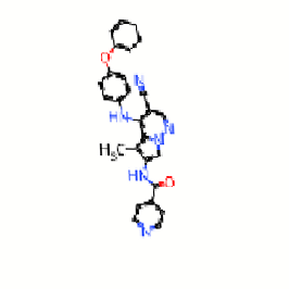 Cc1c(NC(=O)c2ccncc2)cn2ncc(C#N)c(Nc3ccc(OC4=CCCC=C4)cc3)c12